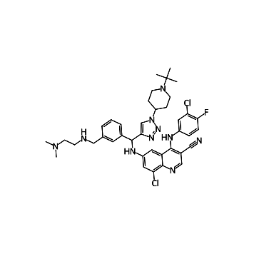 CN(C)CCNCc1cccc(C(Nc2cc(Cl)c3ncc(C#N)c(Nc4ccc(F)c(Cl)c4)c3c2)c2cn(C3CCN(C(C)(C)C)CC3)nn2)c1